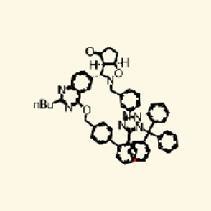 CCCCc1nc(OCc2ccc(-c3ccccc3-c3nnnn3C(c3ccccc3)(c3ccccc3)c3ccccc3)cc2)c2cc([C@@H]3[C@H]4C(=O)CC[C@H]4ON3Cc3ccccc3)ccc2n1